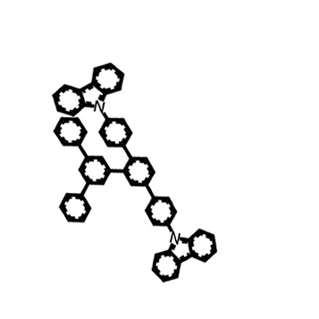 c1ccc(-c2cc(-c3ccccc3)cc(-c3cc(-c4ccc(-n5c6ccccc6c6ccccc65)cc4)ccc3-c3ccc(-n4c5ccccc5c5ccccc54)cc3)c2)cc1